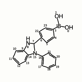 OB(O)c1ccc(C2Nc3ccccc3N2c2ccccc2)cc1